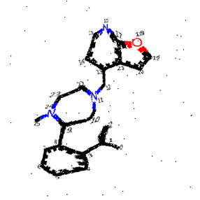 CC(C)c1ccccc1C1CN(Cc2ccnc3occc23)CCN1C